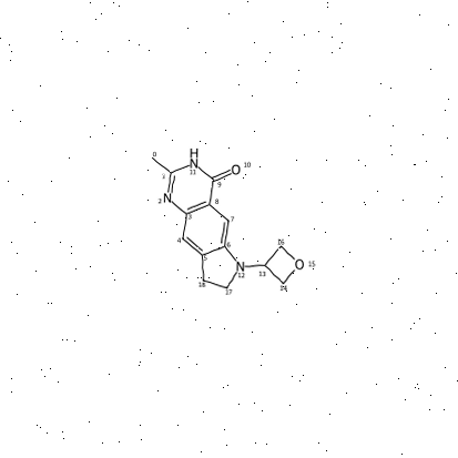 Cc1nc2cc3c(cc2c(=O)[nH]1)N(C1COC1)CC3